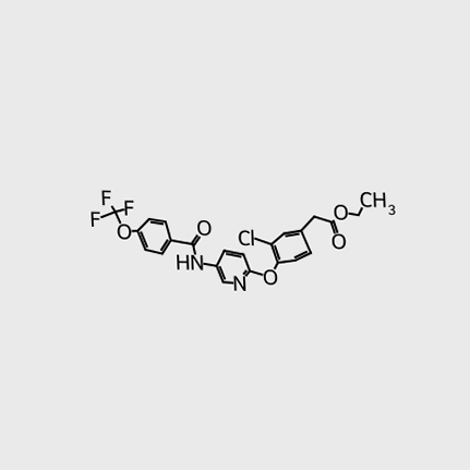 CCOC(=O)Cc1ccc(Oc2ccc(NC(=O)c3ccc(OC(F)(F)F)cc3)cn2)c(Cl)c1